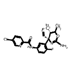 CC1OC(N)=N[C@@](CF)(c2cc(NC(=O)c3ccc(Cl)cn3)ccc2F)[C@@H]1C